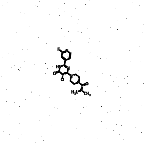 CN(C)C(=O)N1CCN(c2nc(-c3ccnc(F)c3)[nH]c(=O)c2Cl)CC1